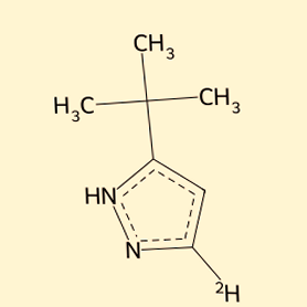 [2H]c1cc(C(C)(C)C)[nH]n1